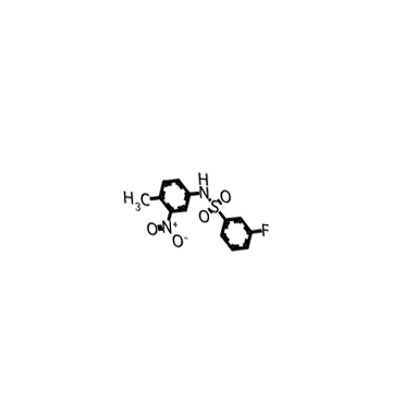 Cc1ccc(NS(=O)(=O)c2cccc(F)c2)cc1[N+](=O)[O-]